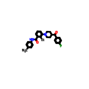 CCc1c(C(=O)Nc2ccc(C)cc2)cccc1N1CCC(C(=O)c2ccc(F)cc2)CC1